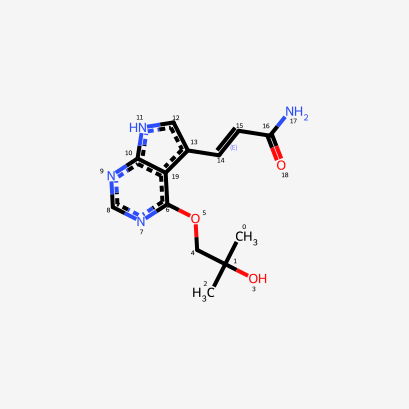 CC(C)(O)COc1ncnc2[nH]cc(/C=C/C(N)=O)c12